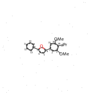 COc1cc(-c2ccc(-c3ccccc3)o2)cc(OC)c1C(C)C